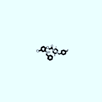 C[C@@H]1CN(Cc2ccc(F)cc2)[C@@H](C)CN1C(=O)COc1ccc(Cl)cc1NCc1ccccc1